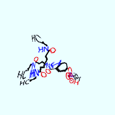 C#CCNC(=O)CCC(CCC(=O)NCC#C)(CCC(=O)NCC#C)NC(=O)[C@H]1CC[C@H](OP(=O)(O)C(C)C)CC1